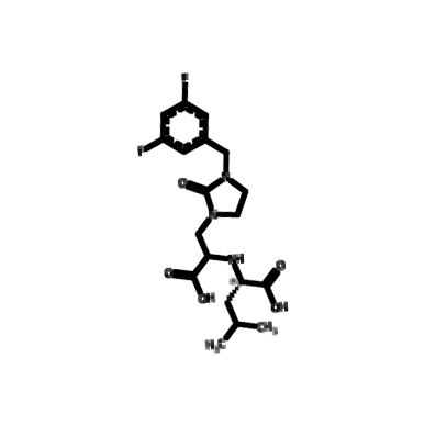 CC(C)C[C@H](NC(CN1CCN(Cc2cc(F)cc(F)c2)C1=O)C(=O)O)C(=O)O